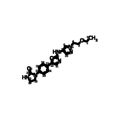 CCOCCn1cc(Nc2ncc(-c3ccc(N4CCNC4=O)cc3)o2)cn1